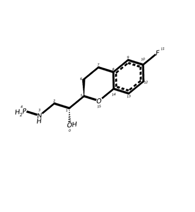 O[C@H](CNP)[C@H]1CCc2cc(F)ccc2O1